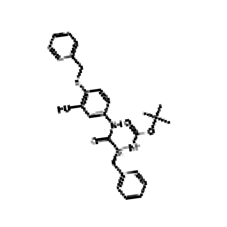 CC(C)(C)OC(=O)N[C@@H](Cc1ccccc1)C(=O)Nc1ccc(SCc2ccccc2)c(O)c1